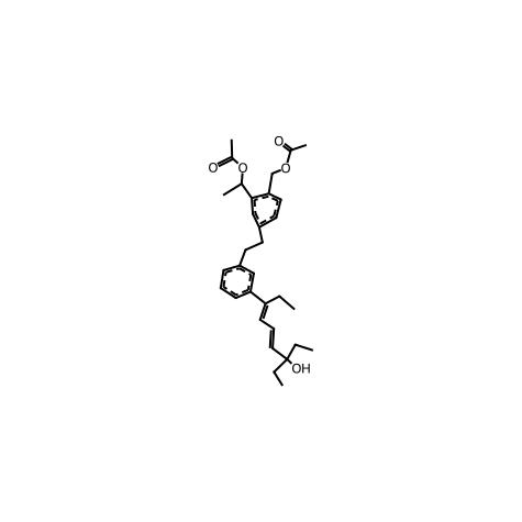 CC/C(=C\C=C\C(O)(CC)CC)c1cccc(CCc2ccc(COC(C)=O)c(C(C)OC(C)=O)c2)c1